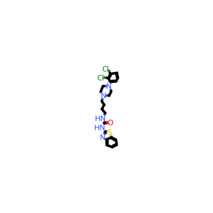 O=C(NCCCCN1CCN(c2cccc(Cl)c2Cl)CC1)Nc1nc2ccccc2s1